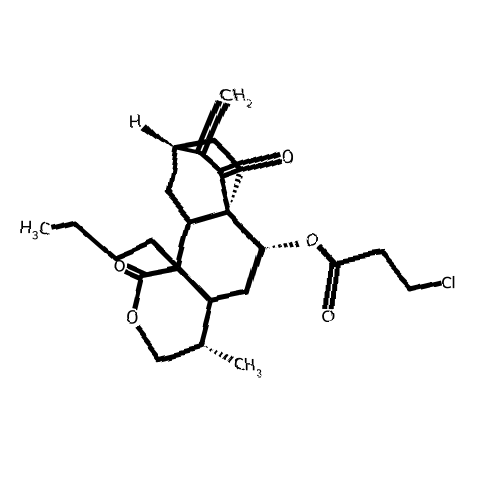 C=C1C(=O)[C@]23CC[C@H]1CC2C1(CCCC)C(=O)OC[C@@H](C)C1C[C@H]3OC(=O)CCCl